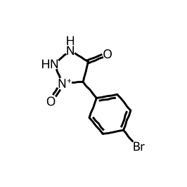 O=C1NN[N+](=O)C1c1ccc(Br)cc1